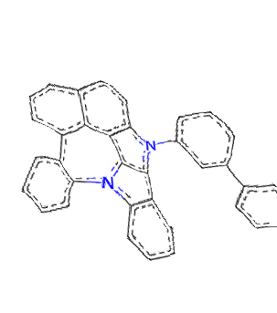 c1ccc(-c2cccc(-n3c4ccc5cccc6c7ccccc7n7c8ccccc8c3c7c4c56)c2)cc1